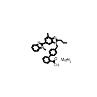 CCCc1nc2c(C)cc(-c3nc4ccccc4n3C)cc2n1Cc1ccc(-c2ccccc2C(=O)O)cc1.[MgH2]